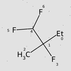 CCC(C)(F)[C](F)F